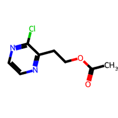 CC(=O)OCCc1nccnc1Cl